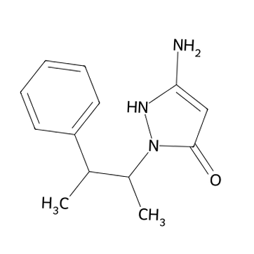 CC(c1ccccc1)C(C)n1[nH]c(N)cc1=O